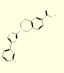 O=C(NO)c1ccc2c(c1)CCN(c1nc(-c3cccc(Cl)c3)cs1)C2